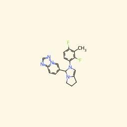 Cc1c(F)ccc(N2C=C3CCCN3C2c2ccc3ncnn3c2)c1F